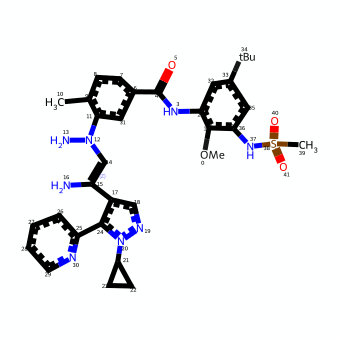 COc1c(NC(=O)c2ccc(C)c(N(N)/C=C(\N)c3cnn(C4CC4)c3-c3ccccn3)c2)cc(C(C)(C)C)cc1NS(C)(=O)=O